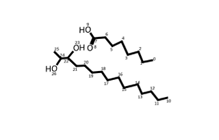 CCCCCCCC(=O)O.CCCCCCCCCCCCC(O)C(C)O